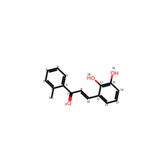 [CH2]c1ccccc1C(=O)C=Cc1cccc(O)c1O